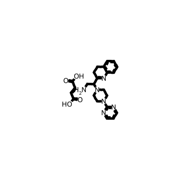 NCC(C1=Nc2ccccc2CC1)N1CCN(c2ncccn2)CC1.O=C(O)/C=C/C(=O)O